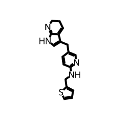 C1=c2c(Cc3ccc(NCc4cccs4)nc3)c[nH]c2=NCC1